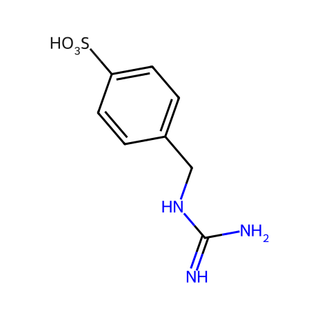 N=C(N)NCc1ccc(S(=O)(=O)O)cc1